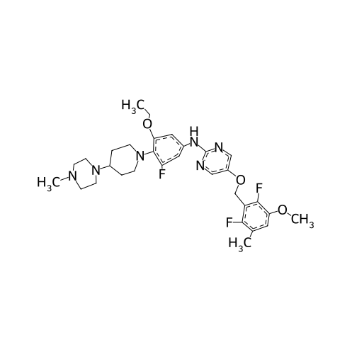 CCOc1cc(Nc2ncc(OCc3c(F)c(C)cc(OC)c3F)cn2)cc(F)c1N1CCC(N2CCN(C)CC2)CC1